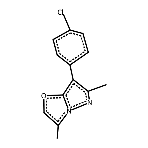 Cc1nn2c(C)coc2c1-c1ccc(Cl)cc1